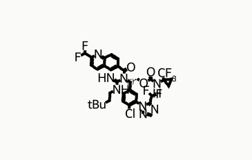 CC(C)(C)CCNC(=N)N(C(=O)c1ccc2nc(C(F)F)ccc2c1)[C@H](COC(=O)NC1(C(F)(F)F)CC1)c1ccc(Cl)c(-n2ncnc2C(F)F)c1